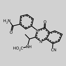 CC(NC(=O)O)c1nc2c(C#N)cccc2c(=O)n1-c1cccc(C(N)=O)c1